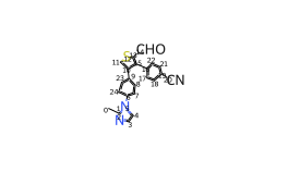 Cc1nccn1-c1ccc(-c2csc(C=O)c2-c2ccc(C#N)cc2)cc1